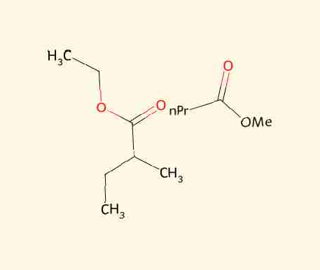 CCCC(=O)OC.CCOC(=O)C(C)CC